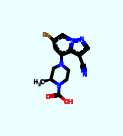 C[C@H]1CN(c2cc(Br)cn3ncc(C#N)c23)CCN1C(=O)O